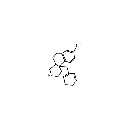 Oc1ccc2c(c1)CCC1CNCCC21Cc1ccccc1